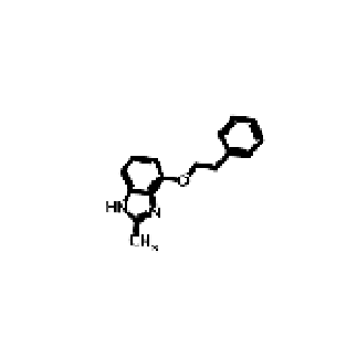 Cc1nc2c(OCCc3ccccc3)cccc2[nH]1